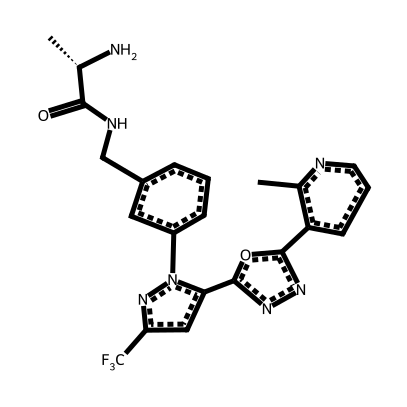 Cc1ncccc1-c1nnc(-c2cc(C(F)(F)F)nn2-c2cccc(CNC(=O)[C@H](C)N)c2)o1